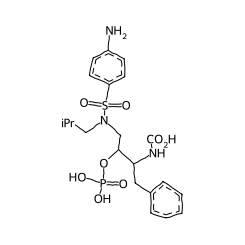 CC(C)CN(CC(OP(=O)(O)O)C(Cc1ccccc1)NC(=O)O)S(=O)(=O)c1ccc(N)cc1